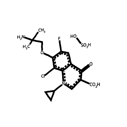 CC(C)(N)COc1c(F)cc2c(=O)c(C(=O)O)cn(C3CC3)c2c1Cl.O=S(=O)(O)O